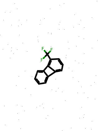 FC(F)(F)c1[c]ccc2c1-c1ccccc1-2